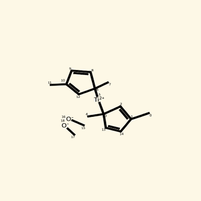 CC1=C[C](C)([Ti+2][C]2(C)C=CC(C)=C2)C=C1.C[O-].C[O-]